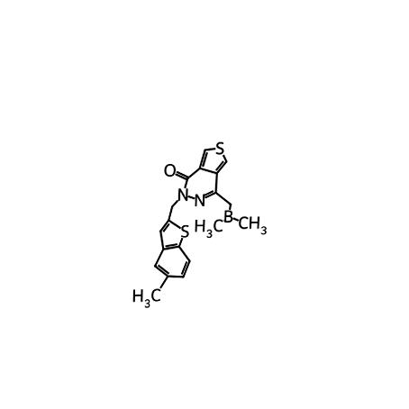 CB(C)Cc1nn(Cc2cc3cc(C)ccc3s2)c(=O)c2cscc12